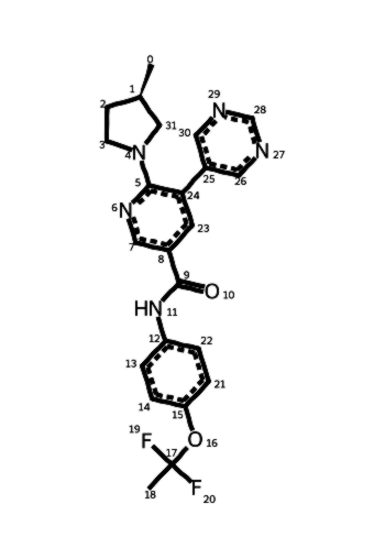 C[C@@H]1CCN(c2ncc(C(=O)Nc3ccc(OC(C)(F)F)cc3)cc2-c2cncnc2)C1